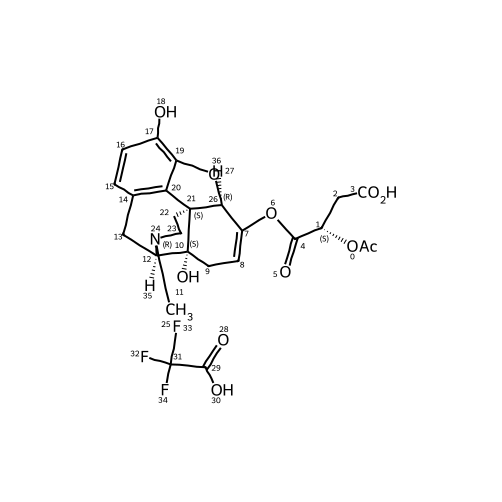 CC(=O)O[C@@H](CC(=O)O)C(=O)OC1=CC[C@@]2(O)[C@H]3Cc4ccc(O)c5c4[C@@]2(CCN3C)[C@H]1O5.O=C(O)C(F)(F)F